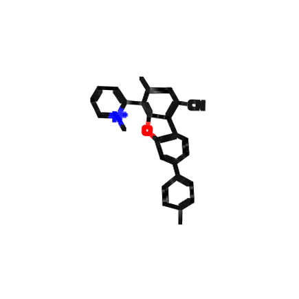 Cc1ccc(-c2ccc3c(c2)oc2c(-c4cccc[n+]4C)c(C)cc(C#N)c23)cc1